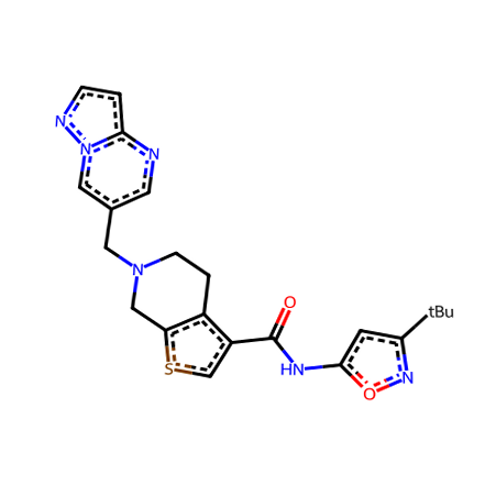 CC(C)(C)c1cc(NC(=O)c2csc3c2CCN(Cc2cnc4ccnn4c2)C3)on1